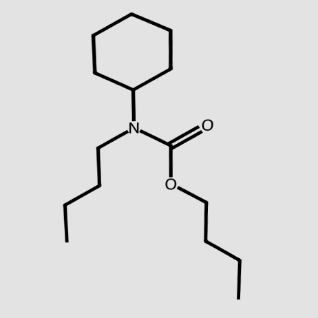 CCCCOC(=O)N(CCCC)C1CCCCC1